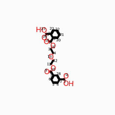 O=C(O)c1cccc(C(=O)OCCOCCOC(=O)c2ccccc2C(=O)O)c1